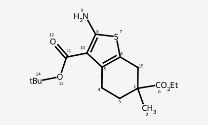 CCOC(=O)C1(C)CCc2c(sc(N)c2C(=O)OC(C)(C)C)C1